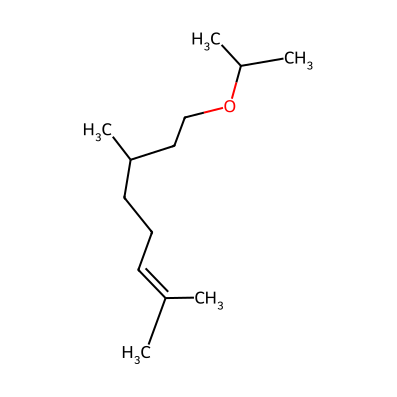 CC(C)=CCCC(C)CCOC(C)C